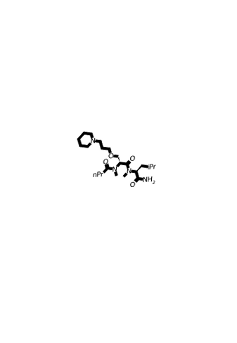 CCCC(=O)N(C)[C@H](COCCCN1CCCCC1)C(=O)N(C)[C@@H](CC(C)C)C(N)=O